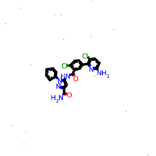 NC(=O)c1cc(NC(=O)c2cc(-c3nc(N)ccc3Cl)ccc2Cl)n(-c2ccccc2)n1